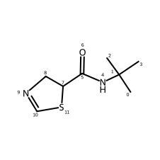 CC(C)(C)NC(=O)C1CN=CS1